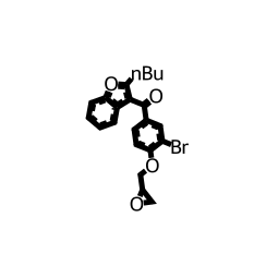 CCCCc1oc2ccccc2c1C(=O)c1ccc(OCC2CO2)c(Br)c1